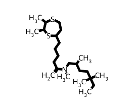 C=C(CCCCC1CCSC(C)C(C)S1)N(C)CC(C)CCC(C)(C)CC